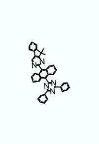 CC1(C)c2ccccc2-c2cnc(-c3c4ccccc4c(-c4nc(-c5ccccc5)nc(-c5ccccc5)n4)c4ccccc34)nc21